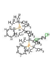 CC(C)(C)P(c1ccccc1)C(C)(C)C.CC(C)(C)P(c1ccccc1)C(C)(C)C.[Cl][Pd][Cl]